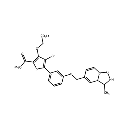 CCOC(=O)COc1c(C(=O)OC)sc(-c2cccc(OCC3=CC4C(C)NON4C=C3)c2)c1Br